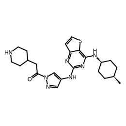 C[C@H]1CC[C@@H](Nc2nc(Nc3cnn(C(=O)CC4CCNCC4)c3)nc3ccsc23)CC1